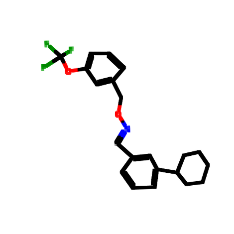 FC(F)(F)Oc1cccc(CON=[C]c2cccc(C3CCCCC3)c2)c1